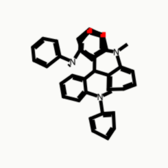 CN(c1ccccc1)c1ccccc1C(c1ccccc1N(C)c1ccccc1)c1ccccc1N(C)c1ccccc1